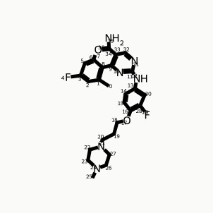 Cc1cc(F)cc(C)c1-c1nc(Nc2ccc(OCCCN3CCN(C)CC3)c(F)c2)ncc1C(N)=O